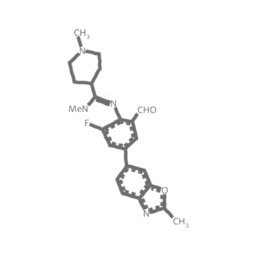 CN/C(=N\c1c(F)cc(-c2ccc3nc(C)oc3c2)cc1C=O)C1CCN(C)CC1